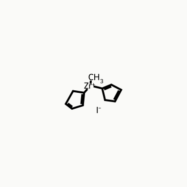 [CH3][Zr+]([C]1=CC=CC1)[C]1=CC=CC1.[I-]